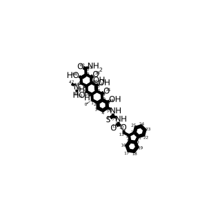 C[C@H]1c2ccc(NC(=S)NC(=O)OCC3c4ccccc4-c4ccccc43)c(O)c2C(=O)C2=C(O)[C@]3(O)C(=O)C(C(N)=O)=C(O)[C@@H](N(C)C)[C@@H]3[C@@H](O)[C@@H]21